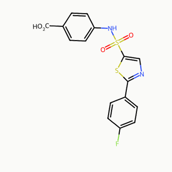 O=C(O)c1ccc(NS(=O)(=O)c2cnc(-c3ccc(F)cc3)s2)cc1